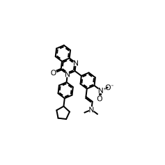 CN(C)C=Cc1cc(-c2nc3ccccc3c(=O)n2-c2ccc(C3CCCC3)cc2)ccc1[N+](=O)[O-]